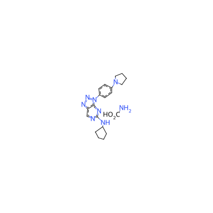 NC(=O)O.c1cc(-n2nnc3cnc(NC4CCCC4)nc32)ccc1N1CCCC1